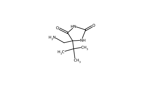 CC(C)(C)C1(CN)NC(=O)NC1=O